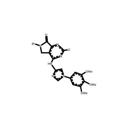 COc1cc(-n2cnc(Nc3nc(Cl)nc4c3CN(C(C)C)C4=O)c2)cc(OC)c1OC